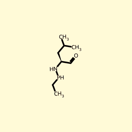 CCPN[C@H](C=O)CC(C)C